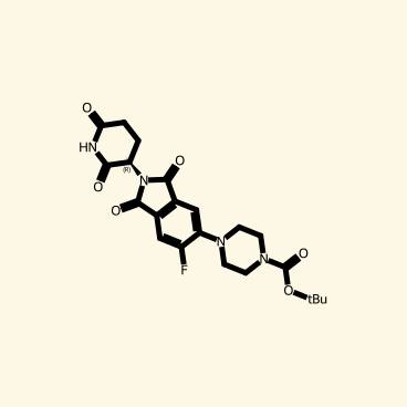 CC(C)(C)OC(=O)N1CCN(c2cc3c(cc2F)C(=O)N([C@@H]2CCC(=O)NC2=O)C3=O)CC1